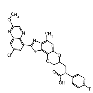 COc1cnc2c(-c3nc4c(C)cc5c(c4s3)OCC(CN(C(=O)O)c3ccc(F)nc3)O5)cc(Cl)cc2n1